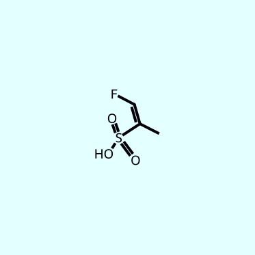 CC(=CF)S(=O)(=O)O